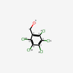 [O]Cc1c(Cl)c(Cl)c(Cl)c(Cl)c1Cl